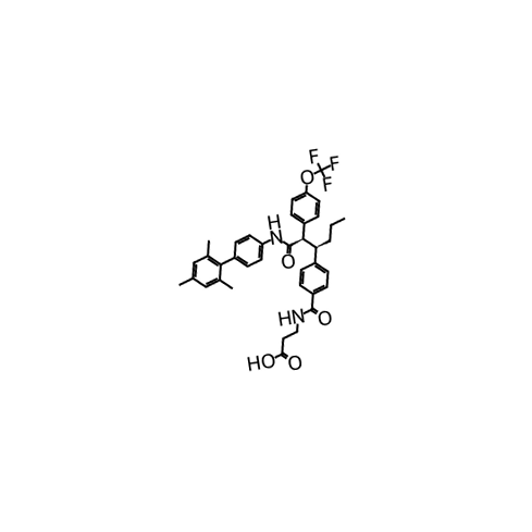 CCC[C@@H](c1ccc(C(=O)NCCC(=O)O)cc1)[C@@H](C(=O)Nc1ccc(-c2c(C)cc(C)cc2C)cc1)c1ccc(OC(F)(F)F)cc1